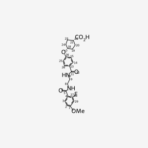 COc1ccc(C(=O)NCCNC(=O)c2ccc(O[C@H]3CC[C@@H](C(=O)O)CC3)cc2)c(F)c1